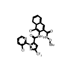 CC(C)(C)ONC(=O)C1=CC2=CC=CCC2C(Cl)=C1NC(=O)c1cc(C(F)(F)F)nn1-c1ncccc1Cl